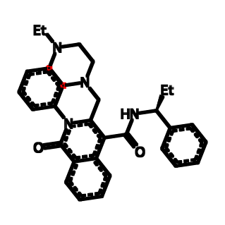 CC[C@H](NC(=O)c1c(CN2CCN(CC)CC2)n(-c2ccccc2)c(=O)c2ccccc12)c1ccccc1